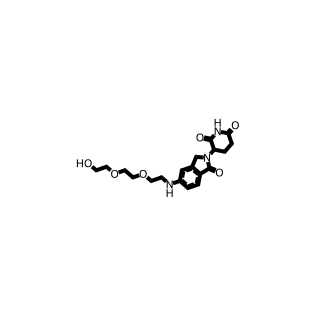 O=C1CCC(N2Cc3cc(NCCOCCOCCO)ccc3C2=O)C(=O)N1